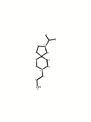 CC(C)N1CCC2(CCN(CCO)CC2)C1